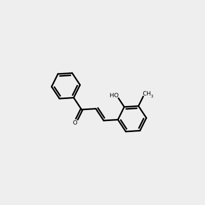 Cc1cccc(C=CC(=O)c2ccccc2)c1O